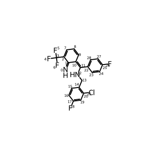 N=C1C(C(F)(F)F)=CC=C/C1=C(/NCc1ccc(F)cc1Cl)c1ccc(F)cc1